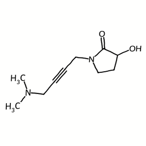 CN(C)CC#CCN1CCC(O)C1=O